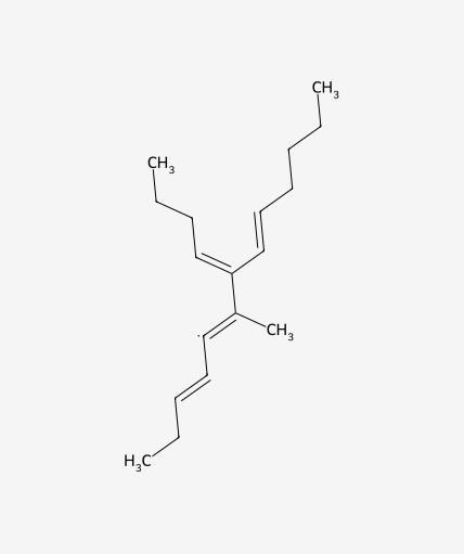 CCC=C/[C]=C(\C)C(C=CCCCC)=CCCC